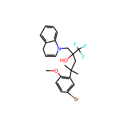 COc1ccc(Br)cc1C(C)(C)CC(O)(CN1C=CCc2ccccc21)C(F)(F)F